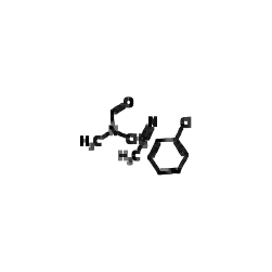 CC#N.CN(C)C=O.Clc1ccccc1